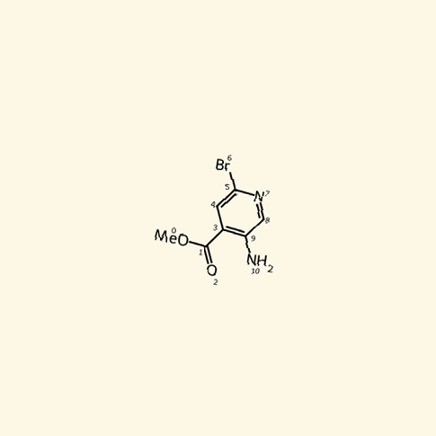 COC(=O)c1cc(Br)ncc1N